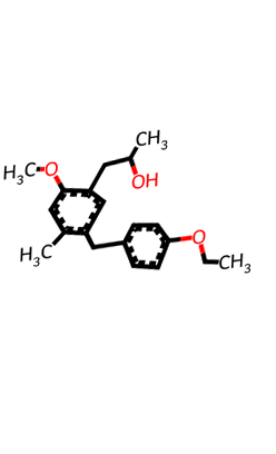 CCOc1ccc(Cc2cc(CC(C)O)c(OC)cc2C)cc1